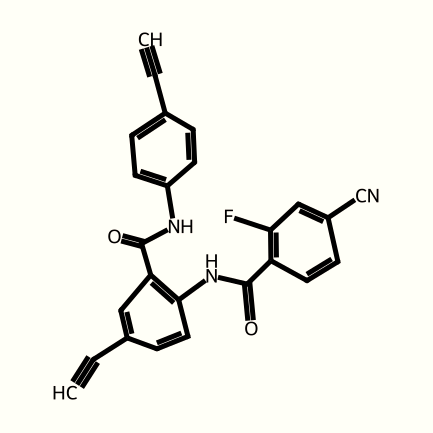 C#Cc1ccc(NC(=O)c2cc(C#C)ccc2NC(=O)c2ccc(C#N)cc2F)cc1